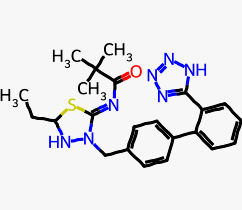 CCC1NN(Cc2ccc(-c3ccccc3-c3nnn[nH]3)cc2)C(=NC(=O)C(C)(C)C)S1